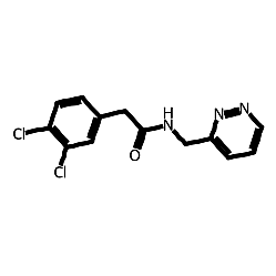 O=C(Cc1ccc(Cl)c(Cl)c1)NCc1cccnn1